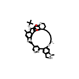 Cc1cc2nc3sc2c(c1[C@H](OC(C)(C)C)C(=O)O)-c1ccc2c(c1)C(CCCC[C@H](C)Oc1cc4c(cc1-c1cc-3cnn1)CNN4C)CCO2